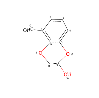 O=Cc1cccc2c1OCC(O)O2